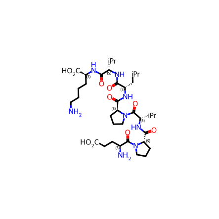 CC(C)C[C@H](NC(=O)[C@@H]1CCCN1C(=O)[C@@H](NC(=O)[C@@H]1CCCN1C(=O)[C@@H](N)CCC(=O)O)C(C)C)C(=O)N[C@H](C(=O)N[C@@H](CCCCN)C(=O)O)C(C)C